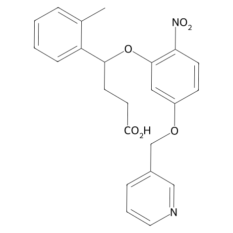 Cc1ccccc1C(CCC(=O)O)Oc1cc(OCc2cccnc2)ccc1[N+](=O)[O-]